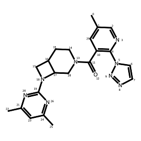 Cc1cnc(-n2ccnn2)c(C(=O)N2CCC3CN(c4nc(C)cc(C)n4)C3C2)c1